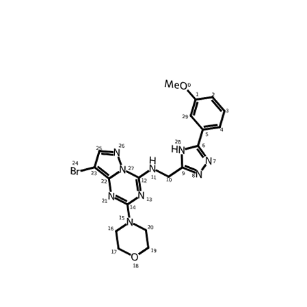 COc1cccc(-c2nnc(CNc3nc(N4CCOCC4)nc4c(Br)cnn34)[nH]2)c1